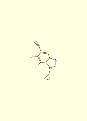 C#Cc1cc2ncn(C3CC3)c2c(F)c1Cl